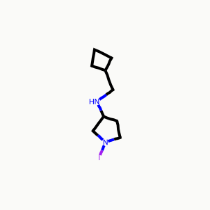 IN1CCC(NCC2CCC2)C1